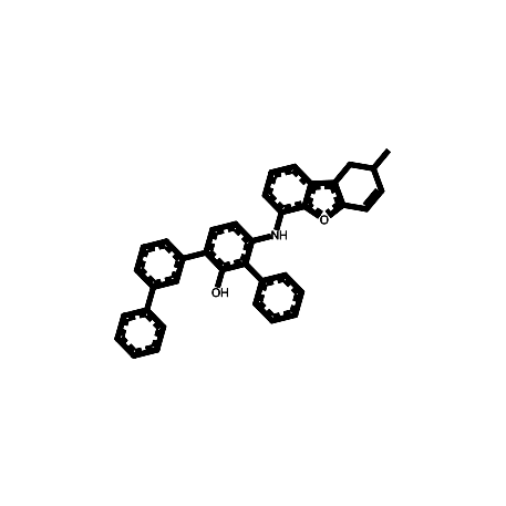 CC1C=Cc2oc3c(Nc4ccc(-c5cccc(-c6ccccc6)c5)c(O)c4-c4ccccc4)cccc3c2C1